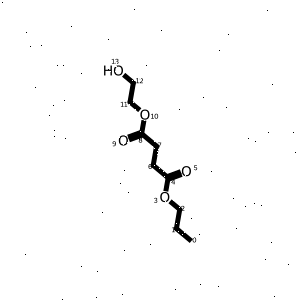 CCCOC(=O)CCC(=O)OCCO